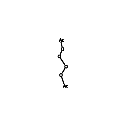 CC(=O)OOOOC(C)=O